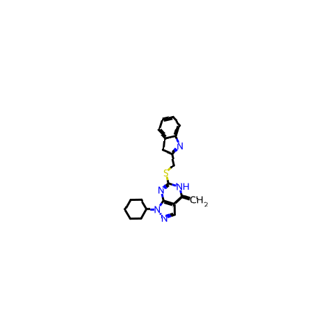 C=C1NC(SCC2=Nc3ccccc3C2)=Nc2c1cnn2C1CCCCC1